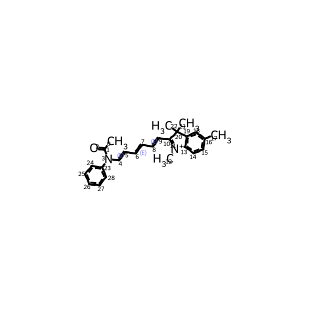 CC(=O)N(/C=C/C=C/C=C/C1=[N+](C)c2ccc(C)cc2C1(C)C)c1ccccc1